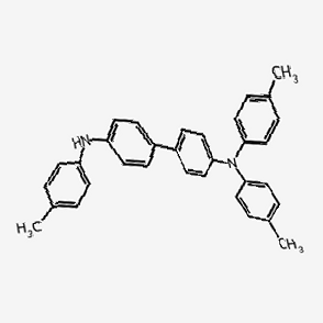 Cc1ccc(Nc2ccc(-c3ccc(N(c4ccc(C)cc4)c4ccc(C)cc4)cc3)cc2)cc1